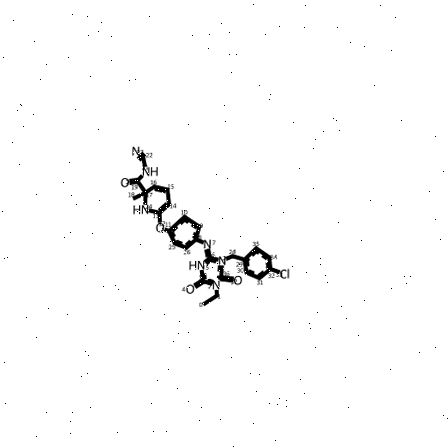 CCn1c(=O)[nH]/c(=N\c2ccc(OC3=CC=CC(C)(C(=O)NC#N)N3)cc2)n(Cc2ccc(Cl)cc2)c1=O